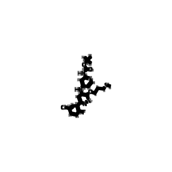 CSCCCOc1nnc(-c2cc(Cl)ccc2F)cc1Nc1ccnc(NC(=O)OC(C)(C)C)c1